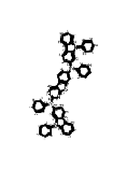 c1ccc(N(c2ccc3c(c2)sc2nc(N(c4ccccc4)c4ccc5c6ccccc6n(-c6ccccc6)c5c4)ncc23)c2ccc3c4ccccc4n(-c4ccccc4)c3c2)cc1